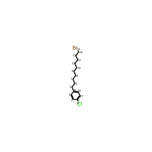 Clc1ccc(CCCCCCCCCCBr)cc1